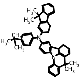 CC(C)(C)c1ccc(N(C2=CC3=C(CC2)c2ccccc2C3(C)C)c2ccc3c(c2)C2CC=CC4=C2N3c2ccccc2C4(C)C)cc1